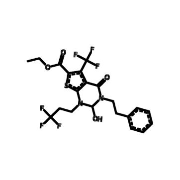 CCOC(=O)c1sc2c(c1C(F)(F)F)C(=O)N(CCc1ccccc1)C(O)N2CCC(F)(F)F